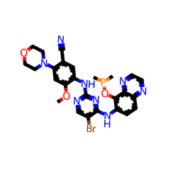 COc1cc(N2CCOCC2)c(C#N)cc1Nc1ncc(Br)c(Nc2ccc3nccnc3c2OP(C)C)n1